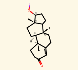 C[C@]12CCC(=O)C=C1CC[C@H]1C3CC[C@H](OI)[C@@]3(C)CC[C@@H]12